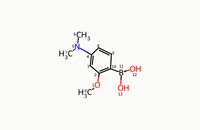 COc1cc(N(C)C)ccc1B(O)O